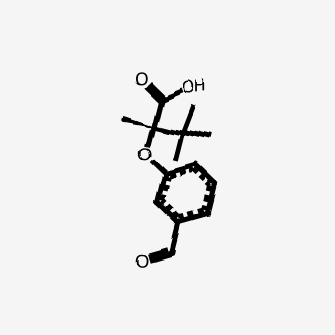 CC(C)(C)[C@](C)(Oc1cccc(C=O)c1)C(=O)O